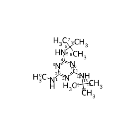 CNc1nc(NC(C)(C)C)nc(NC(C)(C)C)n1